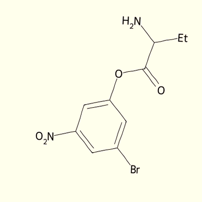 CCC(N)C(=O)Oc1cc(Br)cc([N+](=O)[O-])c1